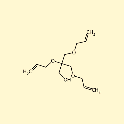 C=CCOCC(CO)(COCC=C)OCC=C